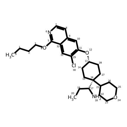 CCCCOc1nccc2cc(O[C@H]3CC[C@](C(N)CC)(C4CCOCC4)CC3)c(Cl)cc12